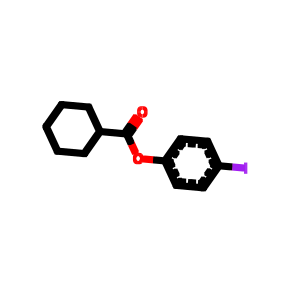 O=C(Oc1ccc(I)cc1)C1CCCCC1